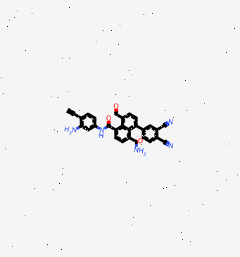 C#Cc1ccc(NC(=O)c2ccc(C(N)=O)c3c(-c4ccc(C#N)c(C#N)c4)ccc(C=O)c23)cc1N